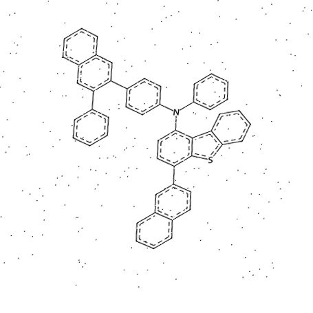 c1ccc(-c2cc3ccccc3cc2-c2ccc(N(c3ccccc3)c3ccc(-c4ccc5ccccc5c4)c4sc5ccccc5c34)cc2)cc1